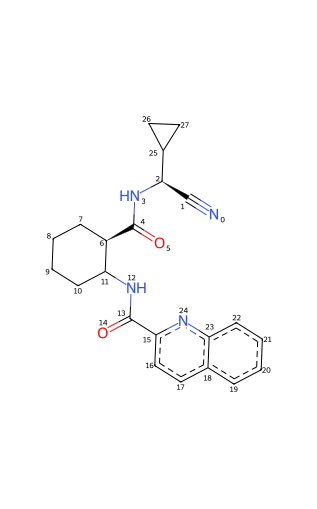 N#C[C@@H](NC(=O)[C@@H]1CCCCC1NC(=O)c1ccc2ccccc2n1)C1CC1